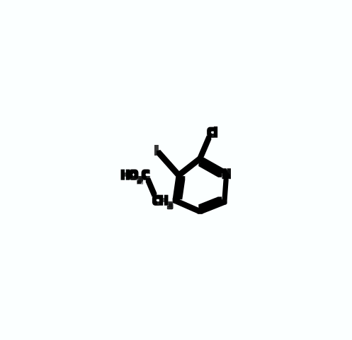 CC(=O)O.Clc1ncccc1I